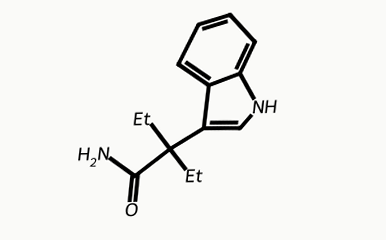 CCC(CC)(C(N)=O)c1c[nH]c2ccccc12